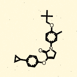 Cc1cc(N2CC=C(Oc3ccc(C4CC4)cc3)C2=O)ccc1OCC(C)(C)C